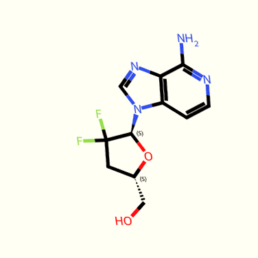 Nc1nccc2c1ncn2[C@H]1O[C@H](CO)CC1(F)F